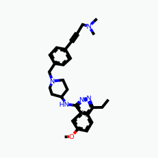 CCc1nnc(NC2CCN(Cc3ccc(C#CCN(C)C)cc3)CC2)c2cc(OC)ccc12